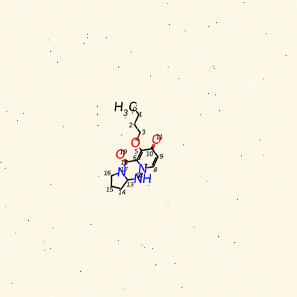 CCCCOc1c2n(ccc1=O)NC1CCCN1C2=O